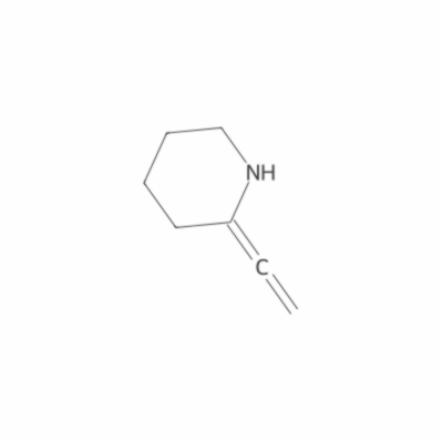 C=C=C1CCCCN1